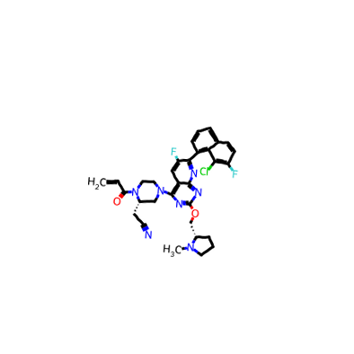 C=CC(=O)N1CCN(c2nc(OC[C@@H]3CCCN3C)nc3nc(-c4cccc5ccc(F)c(Cl)c45)c(F)cc23)C[C@@H]1CC#N